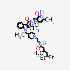 C=C(CC(=O)NCCN1CCC([C@@H](C)n2c(C)c(C(=O)NCc3c(OC)cc(C)[nH]c3=O)c3ccccc32)CC1)CC(CC)CC